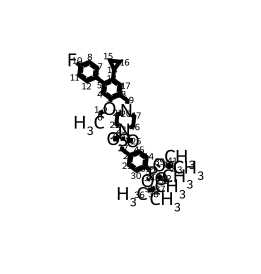 CCOc1cc(-c2ccc(F)cc2)c(C2CC2)cc1CN1CCN(S(=O)(=O)Cc2ccc(P(=O)(OC(C)(C)C)OC(C)(C)C)cc2)CC1